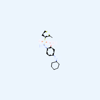 Cc1sccc1S(=O)(=O)Nc1ccc(NC2CCCCC2)cc1O